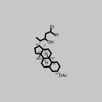 CCC(CC(O)C(C)[C@H]1CC[C@H]2[C@@H]3CC=C4C[C@@H](OC(C)=O)CC[C@]4(C)[C@H]3CC[C@]12C)C(C)C